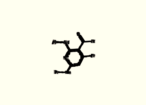 CCC(=O)c1c(CC)cc(NC(C)C)nc1NC(C)C